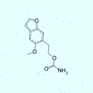 COc1cc2ccoc2cc1CCOC(N)=O